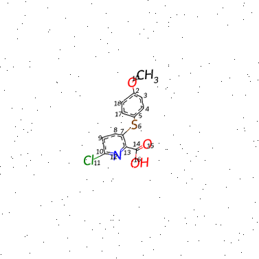 COc1ccc(Sc2ccc(Cl)nc2C(=O)O)cc1